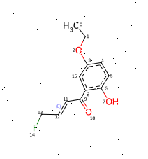 CCOc1ccc(O)c(C(=O)/C=C/CF)c1